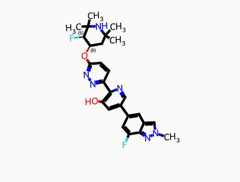 Cn1cc2cc(-c3cnc(-c4ccc(O[C@@H]5CC(C)(C)NC(C)(C)[C@@H]5F)nn4)c(O)c3)cc(F)c2n1